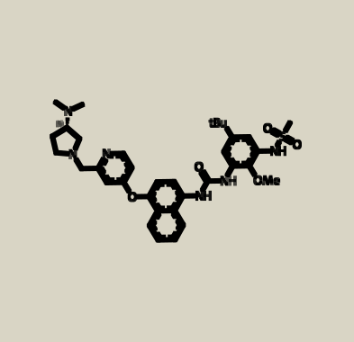 COc1c(NC(=O)Nc2ccc(Oc3ccnc(CN4CC[C@H](N(C)C)C4)c3)c3ccccc23)cc(C(C)(C)C)cc1NS(C)(=O)=O